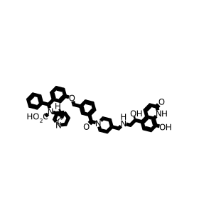 O=C(c1cccc(COc2cccc(C(c3ccccc3)N(C(=O)O)[C@H]3CN4CCC3CC4)c2)c1)N1CCC(CNC[C@@H](O)c2ccc(O)c3[nH]c(=O)ccc23)CC1